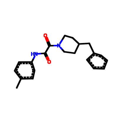 Cc1ccc(NC(=O)C(=O)N2CCC(Cc3ccccc3)CC2)cc1